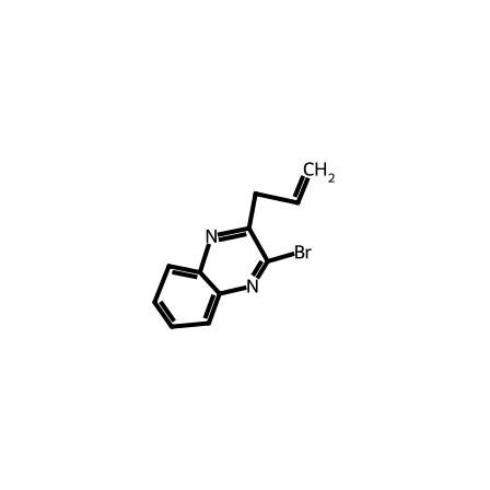 C=CCc1nc2ccccc2nc1Br